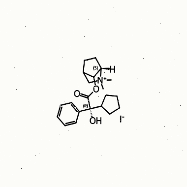 C[N+]1(C)CC2CC[C@H]1C2OC(=O)[C@](O)(c1ccccc1)C1CCCC1.[I-]